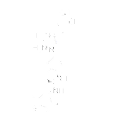 CC(C)CC/C(N)=C/N(N)c1ccc(NC(=O)Nc2ccc(F)cc2)cc1